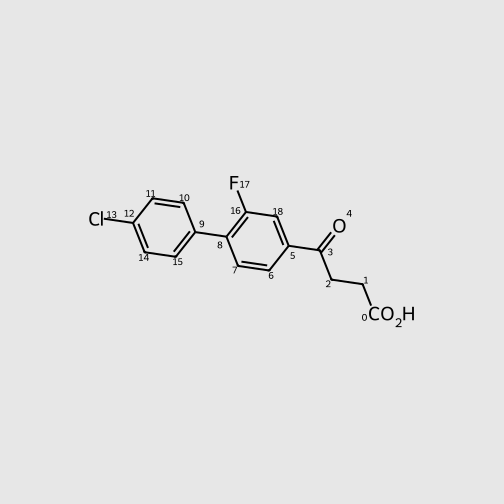 O=C(O)CCC(=O)c1ccc(-c2ccc(Cl)cc2)c(F)c1